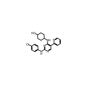 OC1CCC(Nc2nc(Nc3ccc(Cl)cc3)ncc2-c2ccccn2)CC1